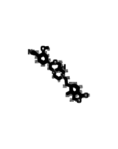 COc1cc([C@@H]2CN3CCN(CCc4ccc5c(c4C)COC5=O)C[C@H]3CO2)ccc1C#N